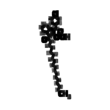 CCCCCCCCCCCCCCCCCC(=O)c1c(OC(=O)O)n(Cc2ccc(Cl)cc2)c2ccccc12